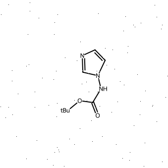 CC(C)(C)OC(=O)Nn1ccnc1